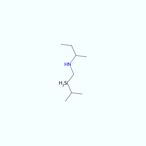 CCC(C)NC[SiH2]C(C)C